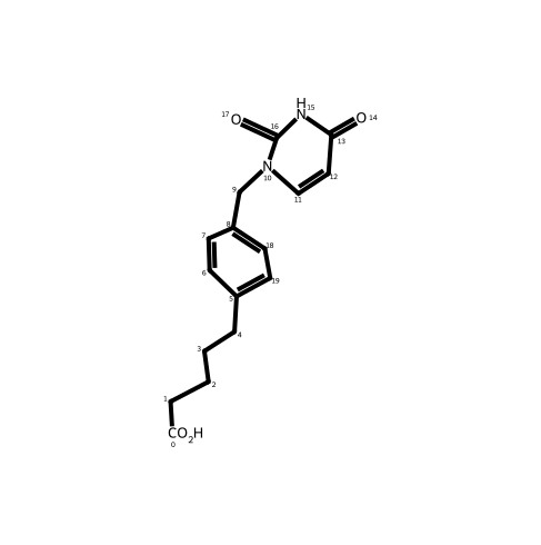 O=C(O)CCCCc1ccc(Cn2ccc(=O)[nH]c2=O)cc1